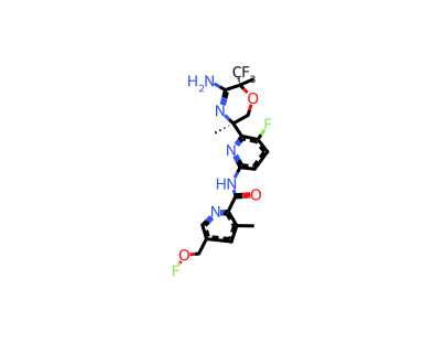 Cc1cc(COF)cnc1C(=O)Nc1ccc(F)c([C@]2(C)CO[C@@](C)(C(F)(F)F)C(N)=N2)n1